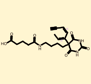 C#C/C=C\C(=C/C)C1(CCCCNC(=O)CCCC(=O)O)C(=O)NC(=O)NC1=O